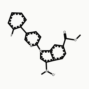 COC(=O)c1ccc2c([S+](C)[O-])cn(-c3ccc(-c4ccccc4F)cn3)c2c1